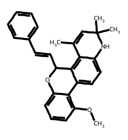 COc1cccc2c1-c1ccc3c(c1C(C=Cc1ccccc1)O2)C(C)=CC(C)(C)N3